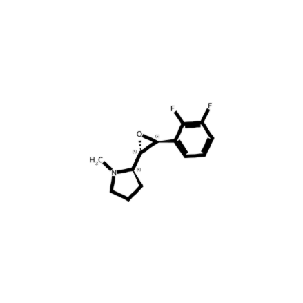 CN1CCC[C@@H]1[C@@H]1O[C@H]1c1cccc(F)c1F